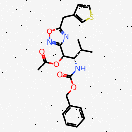 CC(=O)OC(c1noc(Cc2ccsc2)n1)[C@@H](NC(=O)OCc1ccccc1)C(C)C